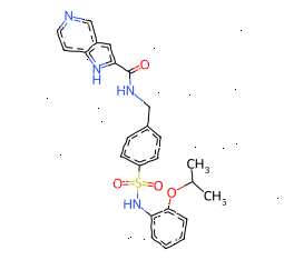 CC(C)Oc1ccccc1NS(=O)(=O)c1ccc(CNC(=O)c2cc3cnccc3[nH]2)cc1